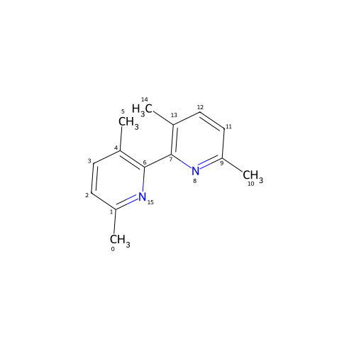 Cc1ccc(C)c(-c2nc(C)ccc2C)n1